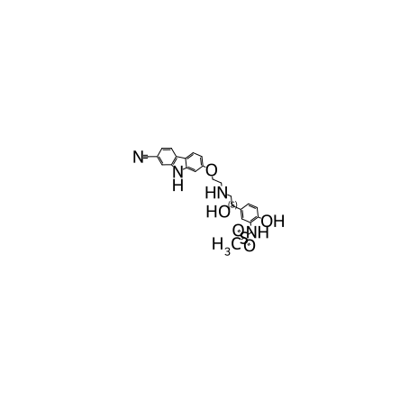 CS(=O)(=O)Nc1cc([C@H](O)CNCCOc2ccc3c(c2)[nH]c2cc(C#N)ccc23)ccc1O